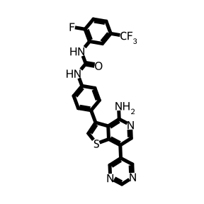 Nc1ncc(-c2cncnc2)c2scc(-c3ccc(NC(=O)Nc4cc(C(F)(F)F)ccc4F)cc3)c12